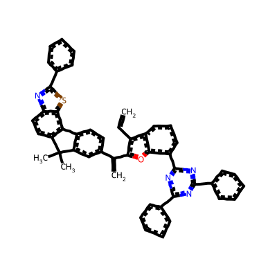 C=Cc1c(C(=C)c2ccc3c(c2)C(C)(C)c2ccc4nc(-c5ccccc5)sc4c2-3)oc2c(-c3nc(-c4ccccc4)nc(-c4ccccc4)n3)cccc12